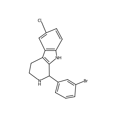 Clc1ccc2[nH]c3c(c2c1)CCNC3c1cccc(Br)c1